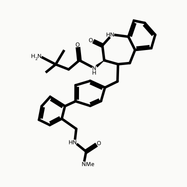 CNC(=O)NCc1ccccc1-c1ccc(CC2Cc3ccccc3NC(=O)[C@@H]2NC(=O)CC(C)(C)N)cc1